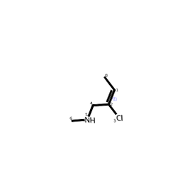 C/C=C(/Cl)CNC